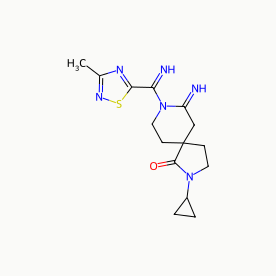 Cc1nsc(C(=N)N2CCC3(CCN(C4CC4)C3=O)CC2=N)n1